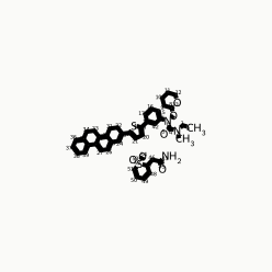 CCN(C)C(=O)N(OC1CCCCO1)c1cccc(-c2ccc(C3=Cc4ccc5c(c4CC3)CCc3ccccc3-5)s2)c1.NC(=O)CC1C=CC=CS1(=O)=O